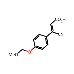 COCOc1ccc(C(C#N)=CC(=O)O)cc1